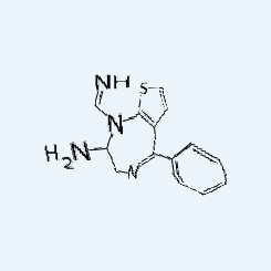 N=CN1c2sccc2C(c2ccccc2)=NCC1N